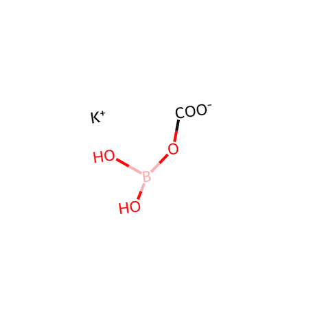 O=C([O-])OB(O)O.[K+]